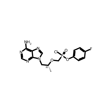 C[C@H](Cn1cnc2c(N)ncnc21)OCP(=O)(Cl)Oc1ccc(F)cc1